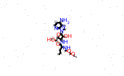 CCCC(NCOCOC)C(=O)N[C@@H]1C(O)[C@H](n2cnc3c(N)ccnc32)O[C@@H]1CO